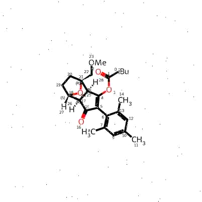 CCC(C)C(=O)OC1=C(c2c(C)cc(C)cc2C)C(=O)[C@H]2[C@@H]3CC[C@@](COC)(O3)[C@@H]12